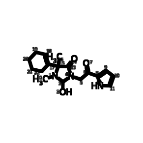 CN1C(O)N(CC(=O)c2ccc[nH]2)C(=O)C1(C)C1=CCCCC1